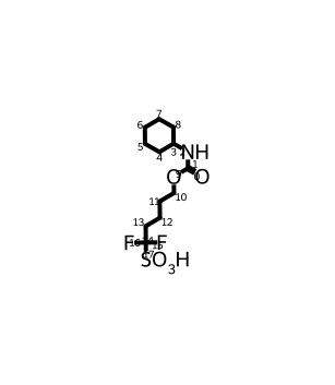 O=C(NC1CCCCC1)OCCCCC(F)(F)S(=O)(=O)O